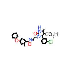 CC1=C(C(=O)O)C(c2cccc(Cl)c2)N(CCC=NC(=O)c2ccc(Oc3ccccc3)cc2C)C(=O)N1